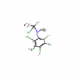 CCCCN(c1c(F)c(F)c(F)c(F)c1F)C(F)(F)C(F)(F)F